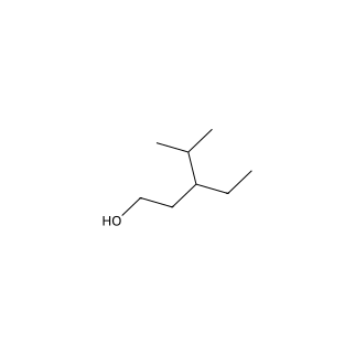 CCC(CCO)C(C)C